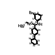 Br.C=NSC(Nc1cccc(Br)c1)c1ccc(-c2ccccc2)cc1